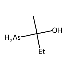 CCC(C)(O)[AsH2]